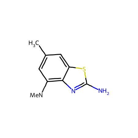 CNc1cc(C)cc2sc(N)nc12